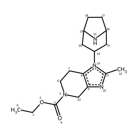 CCOC(=O)N1CCc2c(nc(C)n2C2CC3CCC(C2)N3)C1